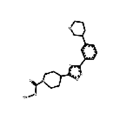 CC(C)(C)OC(=O)N1CCC(c2nc(-c3cccc(C4CCCOC4)c3)no2)CC1